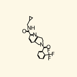 O=C(NCC1CC1)c1ccc2c(n1)CCN(C(=O)c1ccccc1C(F)(F)F)C2